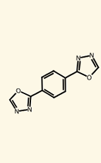 c1nnc(-c2ccc(-c3nnco3)cc2)o1